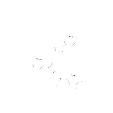 O=C(COc1ccccc1C(=O)NCC(=O)c1ccccc1)Nc1ccc2c(c1)CCC2